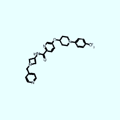 O=C(NC1CN(Cc2ccncc2)C1)c1ccc(OC2CCN(c3ccc(C(F)(F)F)cc3)CC2)cn1